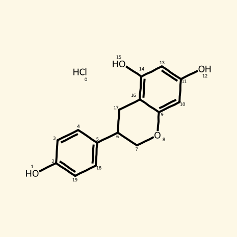 Cl.Oc1ccc(C2COc3cc(O)cc(O)c3C2)cc1